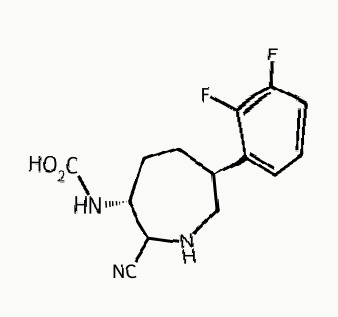 N#CC1NC[C@H](c2cccc(F)c2F)CC[C@H]1NC(=O)O